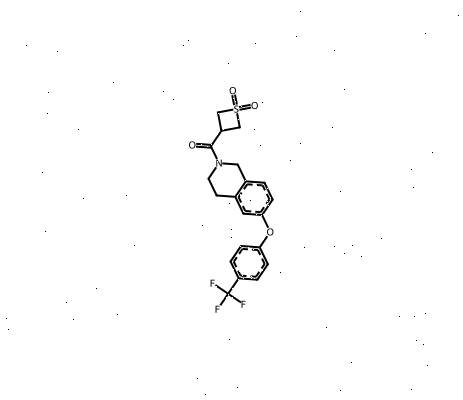 O=C(C1CS(=O)(=O)C1)N1CCc2cc(Oc3ccc(C(F)(F)F)cc3)ccc2C1